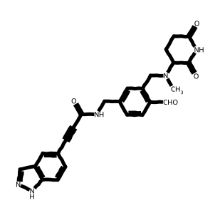 CN(Cc1cc(CNC(=O)C#Cc2ccc3[nH]ncc3c2)ccc1C=O)C1CCC(=O)NC1=O